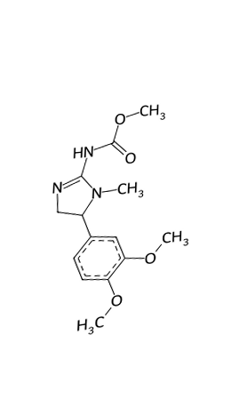 COC(=O)NC1=NCC(c2ccc(OC)c(OC)c2)N1C